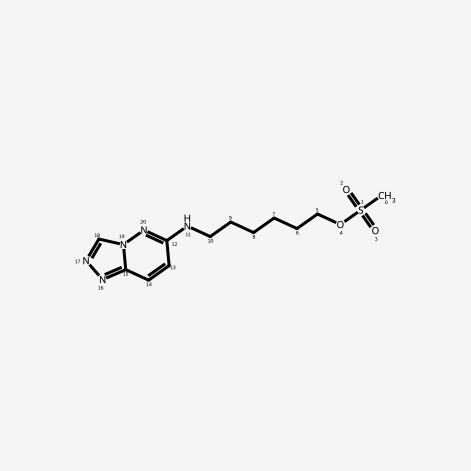 CS(=O)(=O)OCCCCCCNc1ccc2nncn2n1